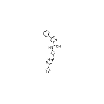 OC(NC1CC(/C=[N+]2/C=C(C3COC3)N=N2)C1)c1cc(-c2ccccc2)on1